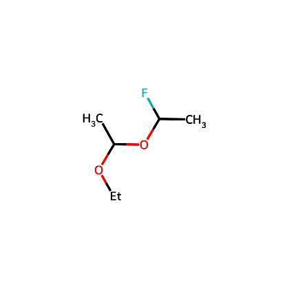 CCOC(C)OC(C)F